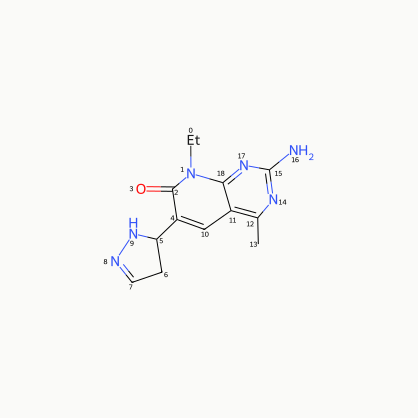 CCn1c(=O)c(C2CC=NN2)cc2c(C)nc(N)nc21